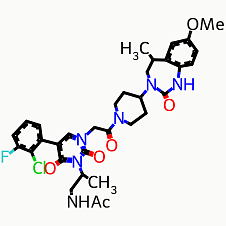 COc1ccc2c(c1)C(C)CN(C1CCN(C(=O)Cn3cc(-c4cccc(F)c4Cl)c(=O)n(C(C)CNC(C)=O)c3=O)CC1)C(=O)N2